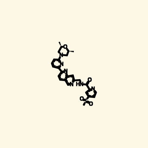 C[C@@H]1CN(c2cccc(-c3ccc4cnc(CNC(=O)c5cc(S(C)(=O)=O)ccn5)cc4n3)n2)C[C@H](C)O1